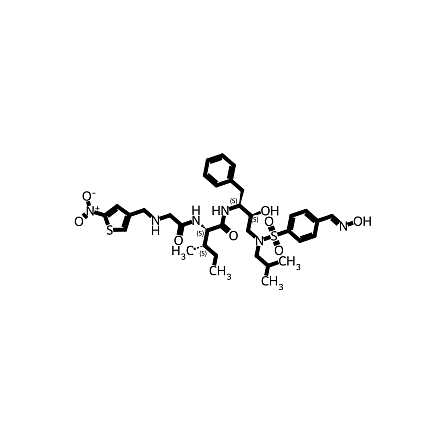 CC[C@H](C)[C@H](NC(=O)CNCc1csc([N+](=O)[O-])c1)C(=O)N[C@@H](Cc1ccccc1)[C@@H](O)CN(CC(C)C)S(=O)(=O)c1ccc(C=NO)cc1